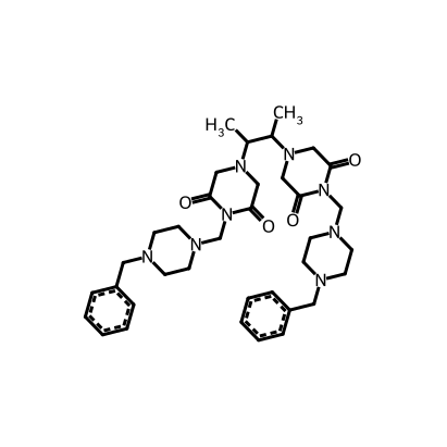 CC(C(C)N1CC(=O)N(CN2CCN(Cc3ccccc3)CC2)C(=O)C1)N1CC(=O)N(CN2CCN(Cc3ccccc3)CC2)C(=O)C1